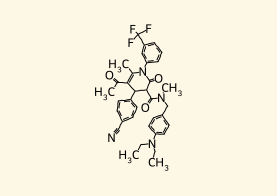 CCN(CC)c1ccc(CN(C)C(=O)C2C(=O)N(c3cccc(C(F)(F)F)c3)C(C)=C(C(C)=O)C2c2ccc(C#N)cc2)cc1